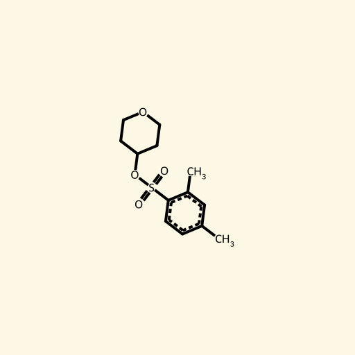 Cc1ccc(S(=O)(=O)OC2CCOCC2)c(C)c1